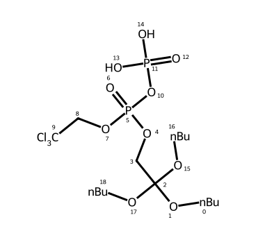 CCCCOC(COP(=O)(OCC(Cl)(Cl)Cl)OP(=O)(O)O)(OCCCC)OCCCC